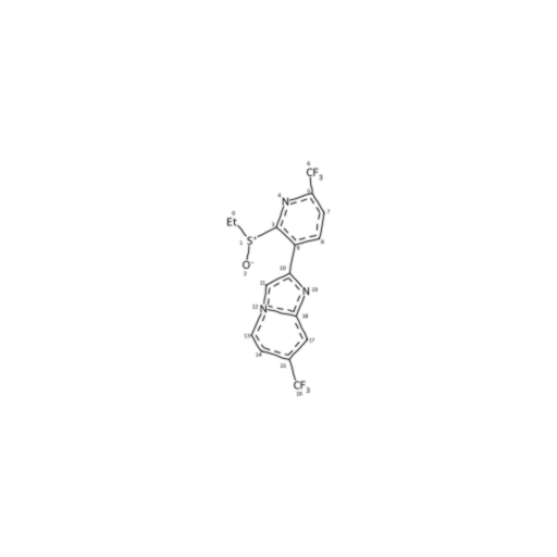 CC[S+]([O-])c1nc(C(F)(F)F)ccc1-c1cn2ccc(C(F)(F)F)cc2n1